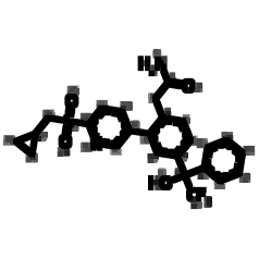 NC(=O)Cc1ccc(C(O)(c2ccccc2)C(F)(F)F)cc1-c1ccc(S(=O)(=O)CC2CC2)nc1